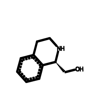 OC[C@H]1NCCc2ccccc21